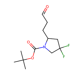 CC(C)(C)OC(=O)N1CC(F)(F)CC1CCC=O